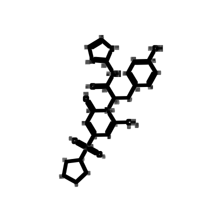 Cc1cc(S(=O)(=O)C2CCCC2)cc(=O)n1C(Cc1ccc(O)cc1)C(=O)Nc1nccs1